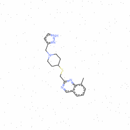 Cc1cccc2cnc(CSC3CCN(Cc4cc[nH]n4)CC3)nc12